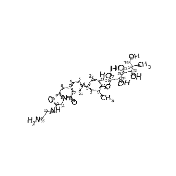 Cc1cc(-c2ccc3ccn(CC(=O)NCCN)c(=O)c3c2)ccc1OC(O)C(O)C(O)C(O)C(C)CO